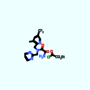 CCOC(=O)C(=O)Cl.Cc1cc(C(F)(F)F)cnc1CN(Cc1ncccn1)C(=O)C(N)=O